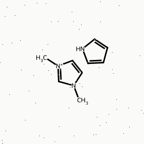 Cn1cc[n+](C)c1.c1cc[nH]c1